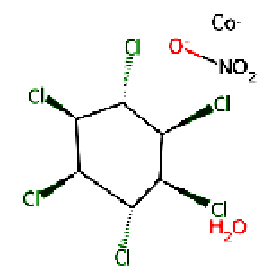 Cl[C@H]1[C@H](Cl)[C@@H](Cl)[C@@H](Cl)[C@H](Cl)[C@H]1Cl.O.O=[N+]([O-])[O-].[Co]